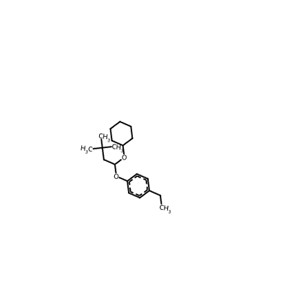 CCc1ccc(OC(CC(C)(C)C)OC2CCCCC2)cc1